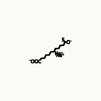 O=C([O-])CCCCCCCCCCC([O-])=S.[Na+].[Na+]